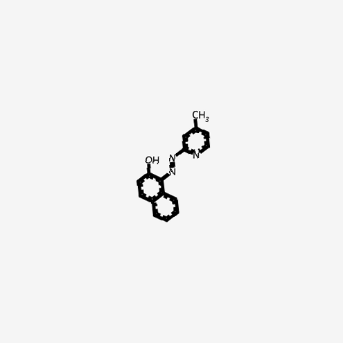 Cc1ccnc(N=Nc2c(O)ccc3ccccc23)c1